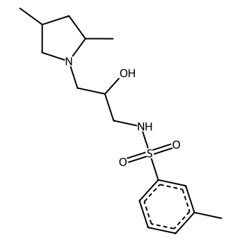 Cc1cccc(S(=O)(=O)NCC(O)CN2CC(C)CC2C)c1